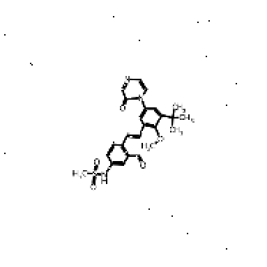 COc1c(/C=C/c2ccc(NS(C)(=O)=O)cc2C=O)cc(-n2ccncc2=O)cc1C(C)(C)C